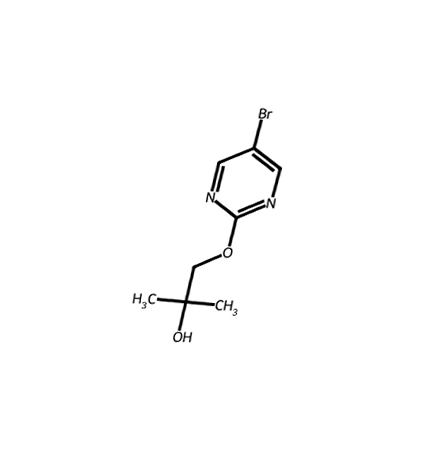 CC(C)(O)COc1ncc(Br)cn1